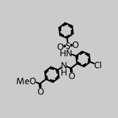 COC(=O)c1ccc(NC(=O)c2cc(Cl)ccc2NS(=O)(=O)c2ccccc2)cc1